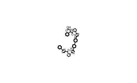 O=C(O)N[C@@H](C(=O)N1CCC[C@H]1c1ncc(-c2ccc(-c3ccc(-c4cnc([C@@H]5CCCN5C(=O)c5csc(-c6ccccc6)n5)[nH]4)cc3)cc2)[nH]1)c1ccccc1